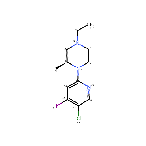 C[C@H]1CN(CC(F)(F)F)CCN1c1cc(I)c(Cl)cn1